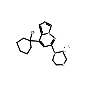 C[C@@H]1COCCN1c1cc(C2(C#N)CCCCC2)c2cncn2n1